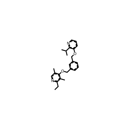 CCc1ncc(C)c(OCc2cccc(COc3cccnc3C(C)C)c2)c1C